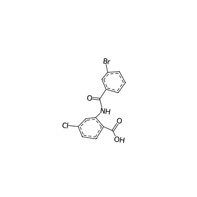 O=C(Nc1cc(Cl)ccc1C(=O)O)c1cccc(Br)c1